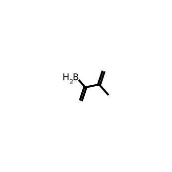 BC(=C)C(=C)C